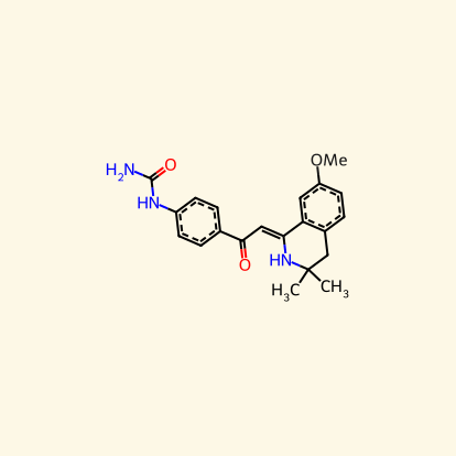 COc1ccc2c(c1)C(=CC(=O)c1ccc(NC(N)=O)cc1)NC(C)(C)C2